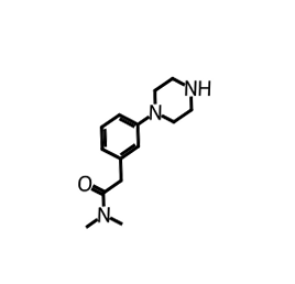 CN(C)C(=O)Cc1cccc(N2CCNCC2)c1